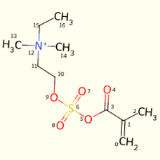 C=C(C)C(=O)OS(=O)(=O)OCC[N+](C)(C)CC